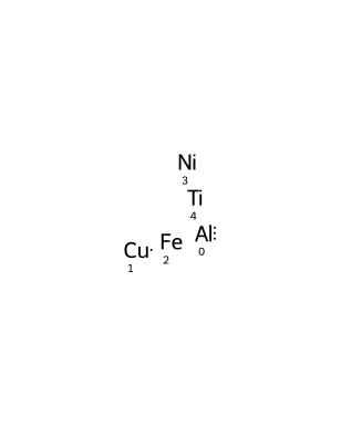 [Al].[Cu].[Fe].[Ni].[Ti]